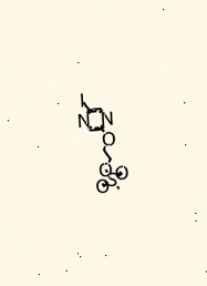 CS(=O)(=O)OCCOc1cnc(I)cn1